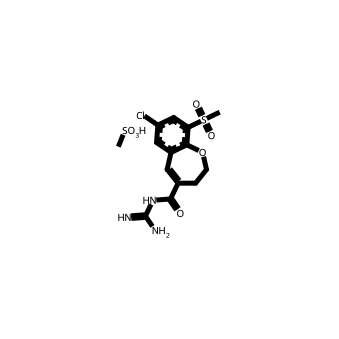 CS(=O)(=O)O.CS(=O)(=O)c1cc(Cl)cc2c1OCCC(C(=O)NC(=N)N)=C2